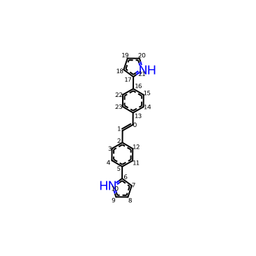 C(=Cc1ccc(-c2ccc[nH]2)cc1)c1ccc(-c2ccc[nH]2)cc1